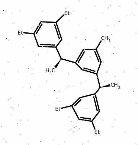 CCc1cc(CC)cc([C@H](C)c2cc(C)cc([C@@H](C)c3cc(CC)cc(CC)c3)c2)c1